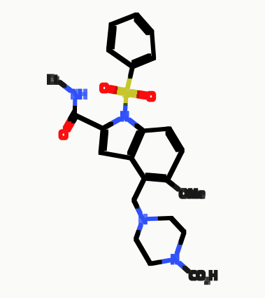 CCNC(=O)c1cc2c(CN3CCN(C(=O)O)CC3)c(OC)ccc2n1S(=O)(=O)c1ccccc1